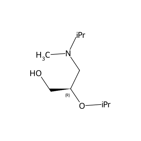 CC(C)O[C@@H](CO)CN(C)C(C)C